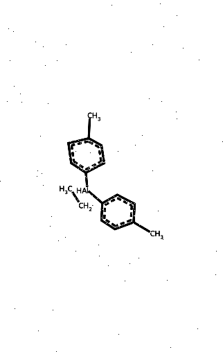 Cc1cc[c]([AlH][c]2ccc(C)cc2)cc1.[CH2]C